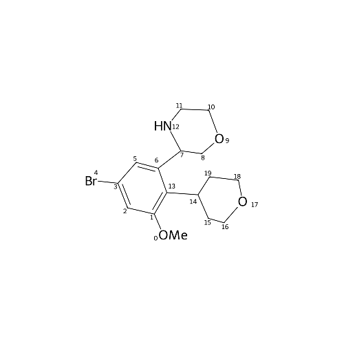 COc1cc(Br)cc(C2COCCN2)c1C1CCOCC1